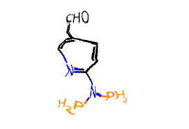 O=Cc1ccc(N(P)P)nc1